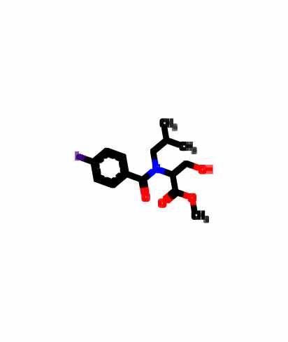 COC(=O)C(CO)N(CC(C)C)C(=O)c1ccc(I)cc1